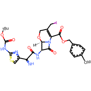 COc1ccc(COC(=O)C2=C(CI)CO[C@@H]3[C@H](NC(=O)C(=N)c4csc(NC(=O)OC(C)(C)C)n4)C(=O)N23)cc1